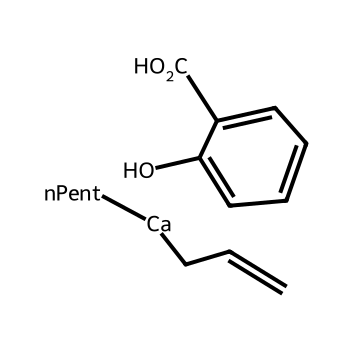 C=C[CH2][Ca][CH2]CCCC.O=C(O)c1ccccc1O